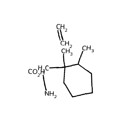 C=C.CC1CCCCC1(C)C.NC(=O)O